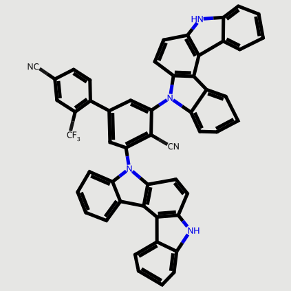 N#Cc1ccc(-c2cc(-n3c4ccccc4c4c5c(ccc43)[nH]c3ccccc35)c(C#N)c(-n3c4ccccc4c4c5c(ccc43)[nH]c3ccccc35)c2)c(C(F)(F)F)c1